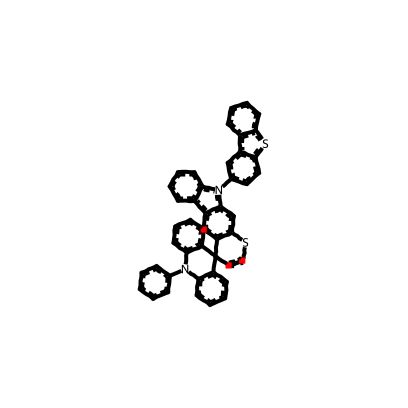 c1ccc(N2c3ccccc3C3(c4ccccc4Sc4cc5c(cc43)c3ccccc3n5-c3ccc4sc5ccccc5c4c3)c3ccccc32)cc1